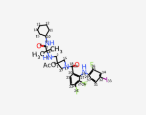 CC(=O)OC1(CNC(C)(C)C(=O)NC2CCCCC2)CN(C(=O)c2ccc(F)c(F)c2Nc2ccc(I)cc2F)C1